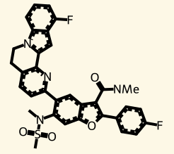 CNC(=O)c1c(-c2ccc(F)cc2)oc2cc(N(C)S(C)(=O)=O)c(-c3ccc4c(n3)-c3cc5c(F)cccc5n3CC4)cc12